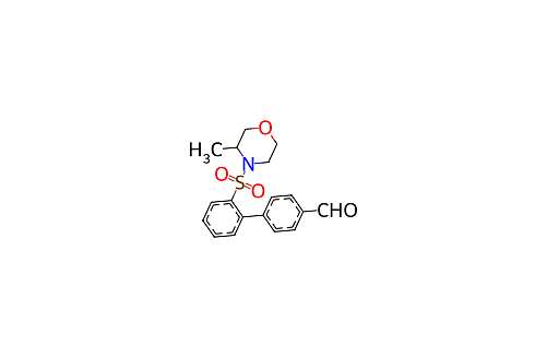 CC1COCCN1S(=O)(=O)c1ccccc1-c1ccc(C=O)cc1